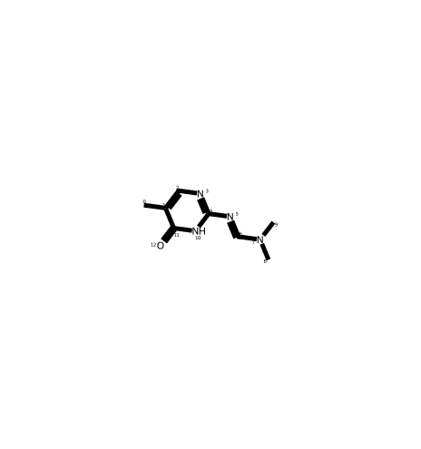 Cc1cnc(/N=C/N(C)C)[nH]c1=O